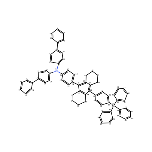 c1ccc(-c2ccc(N(c3ccc(-c4ccccc4)cc3)c3ccc(-c4c5c(c(-c6ccc([Si](c7ccccc7)(c7ccccc7)c7ccccc7)cc6)c6c4CCCC6)CCCC5)cc3)cc2)cc1